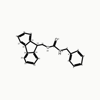 O=C(NCc1cc[c]cc1)OCC1c2ccccc2-c2ccccc21